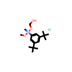 CO[N+](C)(OCO)c1cc(C(C)(C)C)cc(C(C)(C)C)c1.[Cl-]